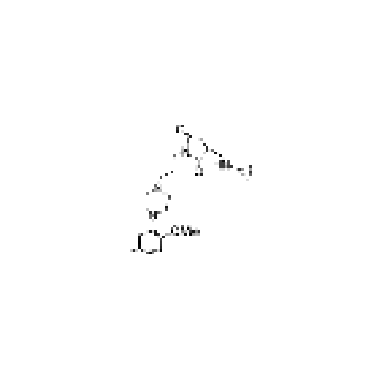 COc1ccc(C)cc1N1CCN(CCCN2C(=O)CC(CNC3CC3)C2=O)CC1